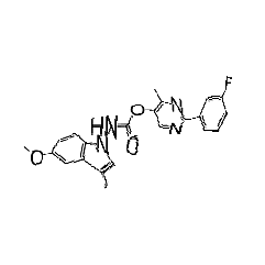 COc1ccc2c(c1)c(C)cn2NC(=O)Oc1cnc(-c2cccc(F)c2)nc1C